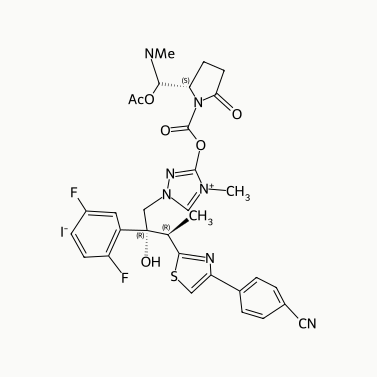 CNC(OC(C)=O)[C@@H]1CCC(=O)N1C(=O)Oc1nn(C[C@](O)(c2cc(F)ccc2F)[C@@H](C)c2nc(-c3ccc(C#N)cc3)cs2)c[n+]1C.[I-]